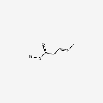 CCOC(=O)C/C=N/C